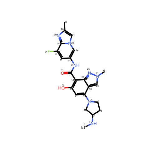 CCNC1CCN(c2cc(O)c(C(=O)Nc3cc(F)c4nc(C)cn4c3)c3nn(C)cc23)C1